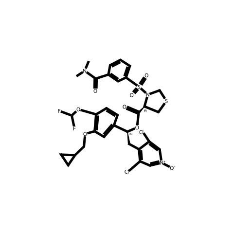 CN(C)C(=O)c1cccc(S(=O)(=O)N2CSC[C@H]2C(=O)O[C@@H](Cc2c(Cl)c[n+]([O-])cc2Cl)c2ccc(OC(F)F)c(OCC3CC3)c2)c1